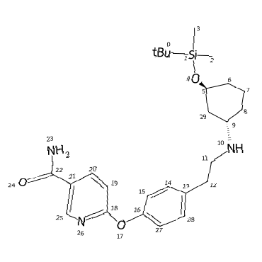 CC(C)(C)[Si](C)(C)O[C@H]1CCC[C@H](NCCc2ccc(Oc3ccc(C(N)=O)cn3)cc2)C1